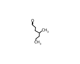 CCC[C](C)CCC=O